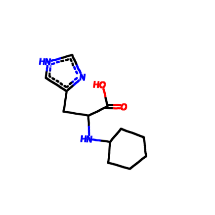 O=C(O)C(Cc1c[nH]cn1)NC1CCCCC1